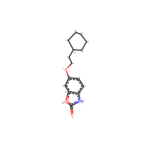 O=c1[nH]c2ccc(OCCC3CCCCC3)cc2o1